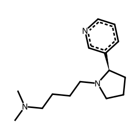 CN(C)CCCCN1CCC[C@@H]1c1cccnc1